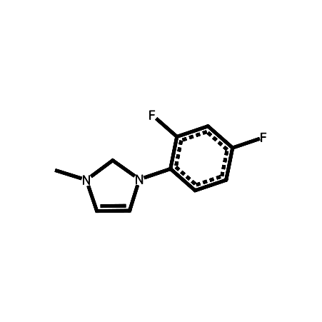 CN1C=CN(c2ccc(F)cc2F)C1